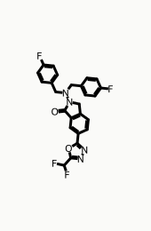 O=C1c2cc(-c3nnc(C(F)F)o3)ccc2CN1N(Cc1ccc(F)cc1)Cc1ccc(F)cc1